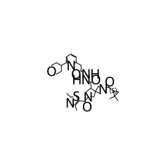 Cc1nc(C)c(C(=O)N2CC(C(=O)NNC(=O)Cc3cccc(C4CCOCC4)n3)C3(C2)CN(C(=O)[C@H]2CC2(C)C)C3)s1